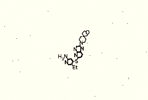 CCc1cnc(N)cc1Sc1ccc2nc(N3CCC4(CCOC4)CC3)cnc2n1